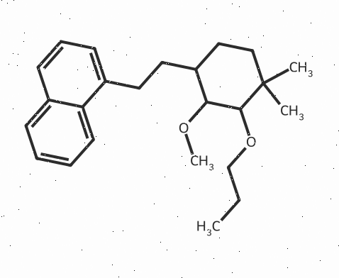 CCCOC1C(OC)C(CCc2cccc3ccccc23)CCC1(C)C